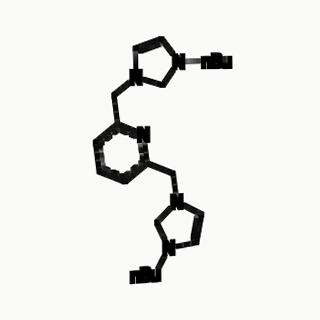 CCCCN1C=CN(Cc2cccc(CN3C=CN(CCCC)C3)n2)C1